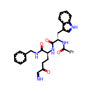 CC(C)C(=O)N[C@@H](Cc1c[nH]c2ccccc12)C(=O)N[C@@H](CCC(=O)C=N)C(=O)NCc1ccccc1